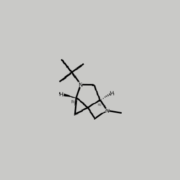 CN1CC23C[C@@H]2N(C(C)(C)C)C[C@@H]13